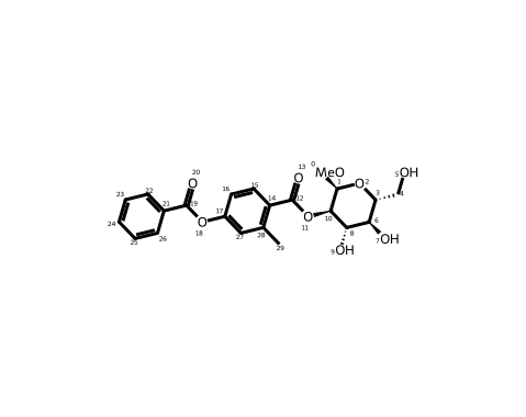 CO[C@H]1O[C@H](CO)[C@@H](O)[C@H](O)[C@H]1OC(=O)c1ccc(OC(=O)c2ccccc2)cc1C